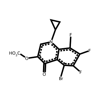 O=C(O)Oc1cn(C2CC2)c2c(F)c(F)c(F)c(Br)c2c1=O